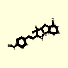 CCOc1ccc(C=CC2ON3c4cccc(Cl)c4CC3C2(C)C)cc1